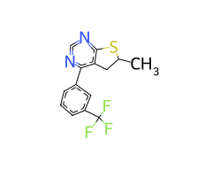 CC1Cc2c(ncnc2-c2cccc(C(F)(F)F)c2)S1